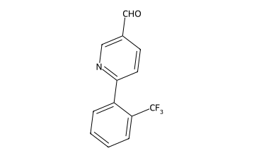 O=Cc1ccc(-c2ccccc2C(F)(F)F)nc1